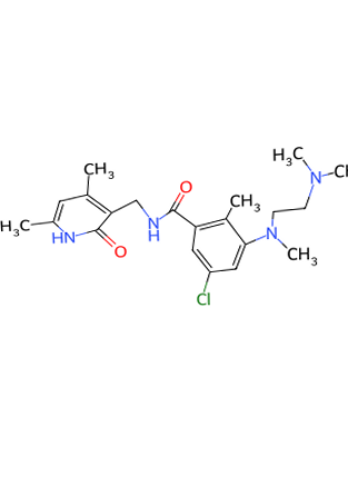 Cc1cc(C)c(CNC(=O)c2cc(Cl)cc(N(C)CCN(C)C)c2C)c(=O)[nH]1